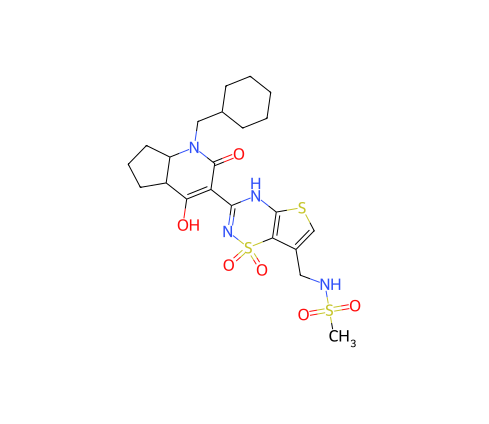 CS(=O)(=O)NCc1csc2c1S(=O)(=O)N=C(C1=C(O)C3CCCC3N(CC3CCCCC3)C1=O)N2